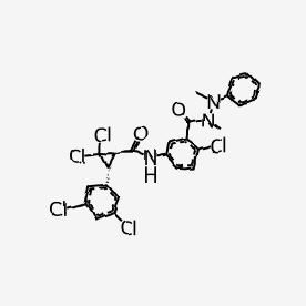 CN(C(=O)c1cc(NC(=O)[C@H]2[C@H](c3cc(Cl)cc(Cl)c3)C2(Cl)Cl)ccc1Cl)N(C)c1ccccc1